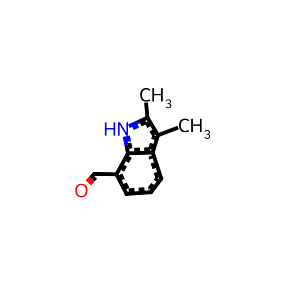 Cc1[nH]c2c(C=O)cccc2c1C